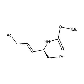 CC(=O)C/C=C/[C@H](CC(C)C)NC(=O)OC(C)(C)C